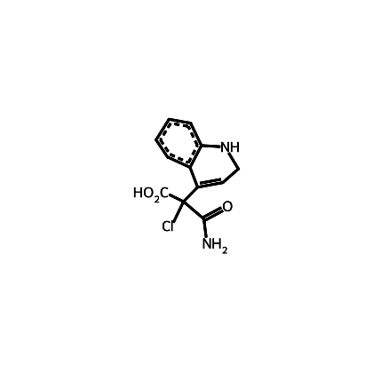 NC(=O)C(Cl)(C(=O)O)C1=CCNc2ccccc21